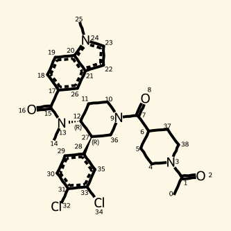 CC(=O)N1CCC(C(=O)N2CC[C@@H](N(C)C(=O)c3ccc4c(ccn4C)c3)[C@H](c3ccc(Cl)c(Cl)c3)C2)CC1